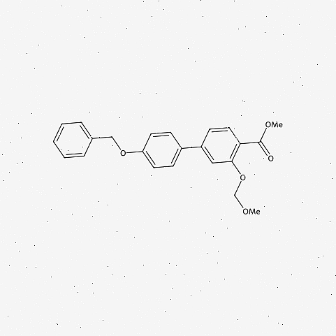 COCOc1cc(-c2ccc(OCc3ccccc3)cc2)ccc1C(=O)OC